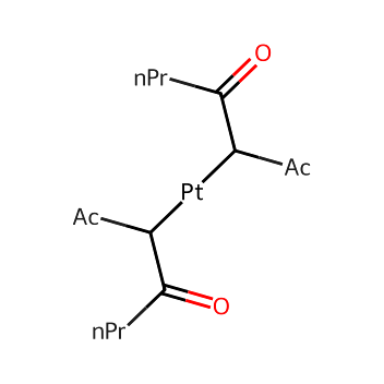 CCCC(=O)[CH]([Pt][CH](C(C)=O)C(=O)CCC)C(C)=O